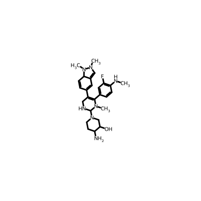 CNc1ccc(C2=C(C3=CC4=CN(C)N(C)C4C=C3)CNC(N3CCC(N)C(O)C3)N2C)cc1F